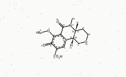 CCCCOc1c2n(cc(C(=O)O)c1=O)[C@H]1COCC[C@@]1(C)N(C)C2=O